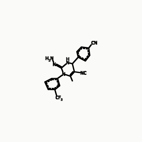 [C-]#[N+]C1=C(C)N(c2cccc(C(F)(F)F)c2)/C(=N/N)NC1c1ccc(C#N)cc1